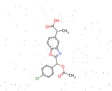 CC(=O)OC(c1ccc(Cl)cc1)c1nc2cc(C(C)C(=O)O)ccc2o1